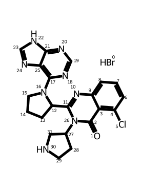 Br.O=c1c2c(Cl)cccc2nc(C2CCCN2c2ncnc3[nH]cnc23)n1C1CCNC1